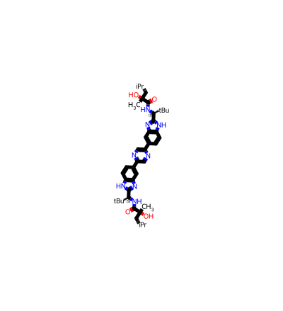 CC(C)CC(C)(O)C(=O)N[C@H](c1nc2cc(-c3cnc(-c4ccc5[nH]c([C@@H](NC(=O)C(C)(O)CC(C)C)C(C)(C)C)nc5c4)cn3)ccc2[nH]1)C(C)(C)C